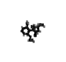 CCc1cccc(Cl)c1-n1[nH]c(C)cc1=O